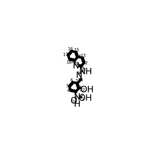 [O-][NH+](O)c1cccc(/C=N/Nc2ccc3ccccc3n2)c1O